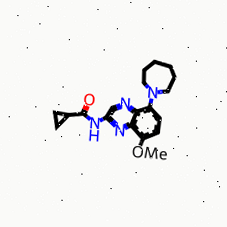 COc1ccc(N2CCCCCC2)c2ncc(NC(=O)C3CC3)nc12